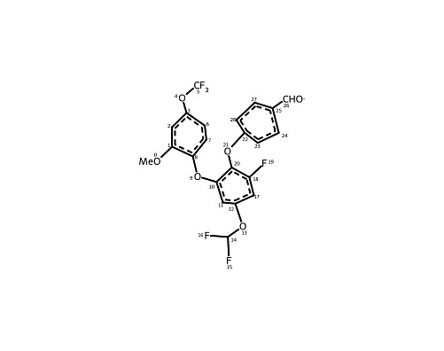 COc1cc(OC(F)(F)F)ccc1Oc1cc(OC(F)F)cc(F)c1Oc1ccc([C]=O)cc1